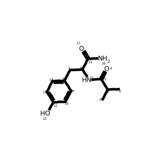 CC(C)C(=O)NC(Cc1ccc(O)cc1)C(N)=O